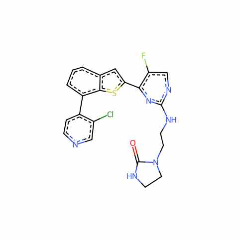 O=C1NCCN1CCNc1ncc(F)c(-c2cc3cccc(-c4ccncc4Cl)c3s2)n1